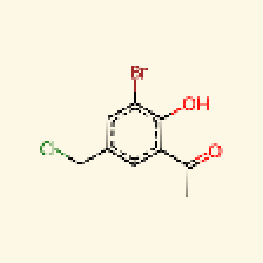 CC(=O)c1cc(CCl)cc(Br)c1O